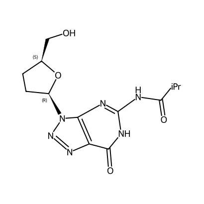 CC(C)C(=O)Nc1nc2c(nnn2[C@H]2CC[C@@H](CO)O2)c(=O)[nH]1